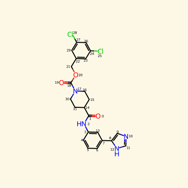 O=C(Nc1cccc(-c2cnc[nH]2)c1)C1CCN(C(=O)OCc2cc(Cl)cc(Cl)c2)CC1